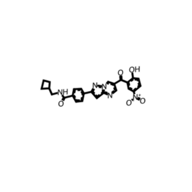 O=C(NCC1CCC1)c1ccc(-c2cc3ncc(C(=O)c4cc([N+](=O)[O-])ccc4O)cn3n2)cc1